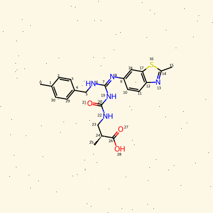 Cc1ccc(CN/C(=N/c2ccc3nc(C)sc3c2)NC(=O)NC[C@H](C)C(=O)O)cc1